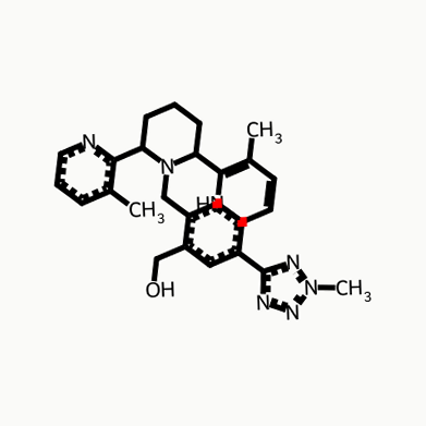 CC1=C(C2CCCC(c3ncccc3C)N2Cc2ccc(-c3nnn(C)n3)cc2CO)NCC=C1